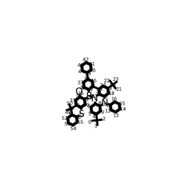 CC(C)(C)c1ccc2c(c1)N(c1ccccc1)c1cc(C(C)(C)C)cc3c1N2B1c2cc4c(cc2Oc2cc(-c5ccccc5)cc-3c21)C(C)(C)c1ccccc1S4